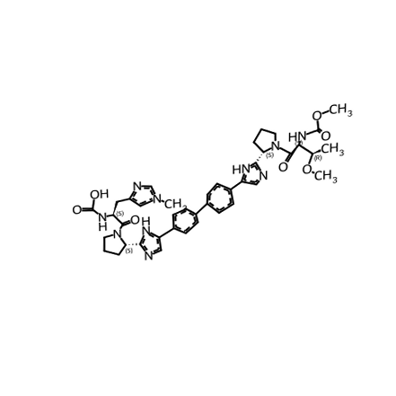 COC(=O)N[C@H](C(=O)N1CCC[C@H]1c1ncc(-c2ccc(-c3ccc(-c4cnc([C@@H]5CCCN5C(=O)[C@H](Cc5cn(C)cn5)NC(=O)O)[nH]4)cc3)cc2)[nH]1)[C@@H](C)OC